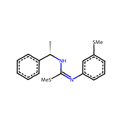 CSC(=Nc1cccc(SC)c1)N[C@@H](C)c1ccccc1